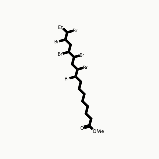 CCC(Br)C(Br)CC(Br)C(Br)CC(Br)C(Br)CCCCCCCC(=O)OC